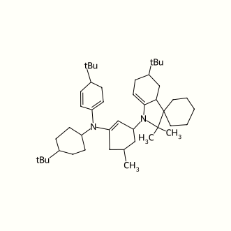 CC1CC(N(C2=CCC(C(C)(C)C)C=C2)C2CCC(C(C)(C)C)CC2)=CC(N2C3=CCC(C(C)(C)C)CC3C3(CCCCC3)C2(C)C)C1